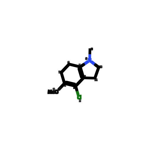 COC1=C(Cl)C2=C(CC1)N(C)CC2